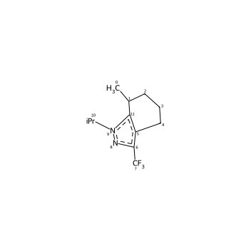 CC1CCCc2c(C(F)(F)F)nn(C(C)C)c21